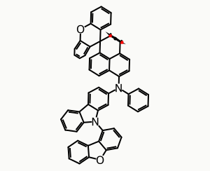 c1ccc(N(c2ccc3c4ccccc4n(-c4cccc5oc6ccccc6c45)c3c2)c2ccc3c4c(cccc24)C2(c4ccccc4Oc4ccccc42)c2ccccc2-3)cc1